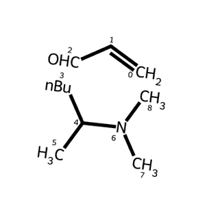 C=CC=O.CCCCC(C)N(C)C